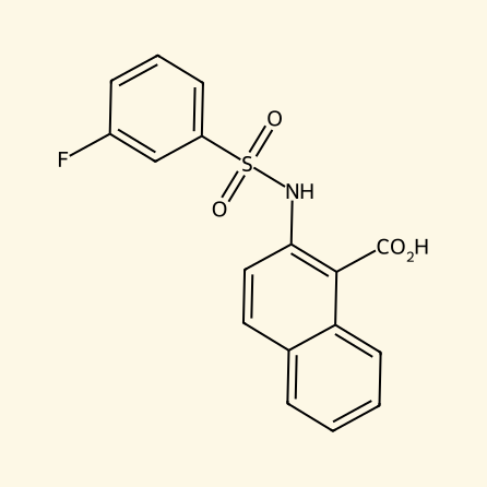 O=C(O)c1c(NS(=O)(=O)c2cccc(F)c2)ccc2ccccc12